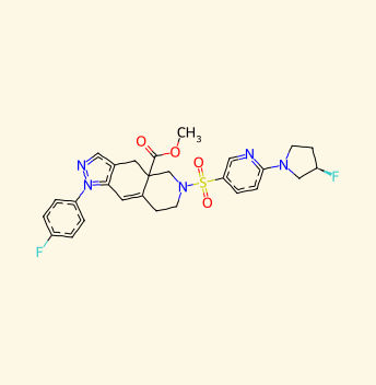 COC(=O)C12Cc3cnn(-c4ccc(F)cc4)c3C=C1CCN(S(=O)(=O)c1ccc(N3CC[C@@H](F)C3)nc1)C2